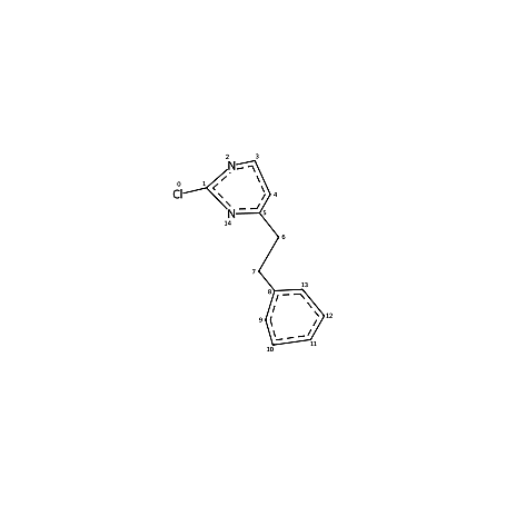 Clc1nccc(CCc2ccccc2)n1